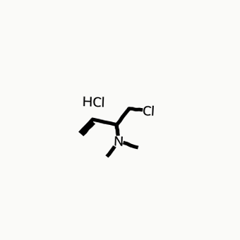 C=CC(CCl)N(C)C.Cl